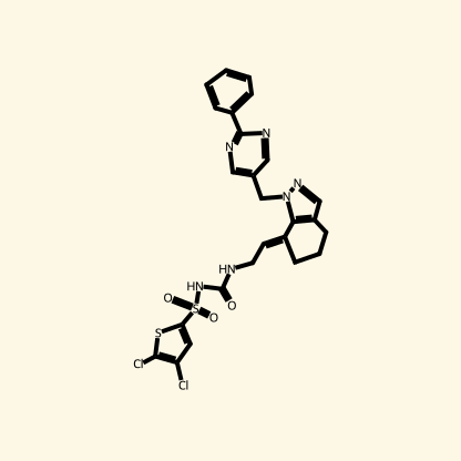 O=C(NCC=C1CCCc2cnn(Cc3cnc(-c4ccccc4)nc3)c21)NS(=O)(=O)c1cc(Cl)c(Cl)s1